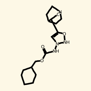 O=C(NN1C=C(C2CN3CCC2CC3)ON1)OCC1CCCCC1